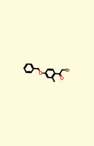 Cc1cc(OCc2ccccc2)ccc1C(=O)CBr